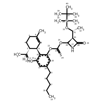 C=C(C)[C@@H]1CCC(C)=C[C@H]1c1c(O)cc(CCCCC)cc1OC(=S)OC1NC(=O)[C@@H]1[C@@H](C)O[Si](C)(C)C(C)(C)C